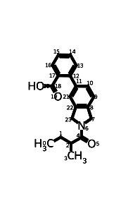 CCC(C)C(=O)N1Cc2ccc(-c3ccccc3C(=O)O)cc2C1